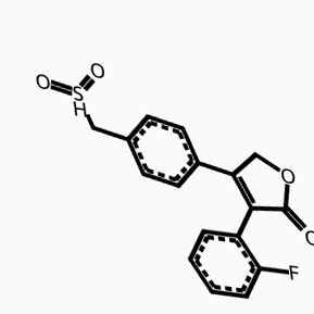 O=C1OCC(c2ccc(C[SH](=O)=O)cc2)=C1c1ccccc1F